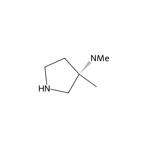 CN[C@@]1(C)CCNC1